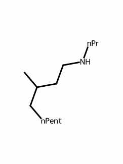 CCCCCCC(C)CCNCCC